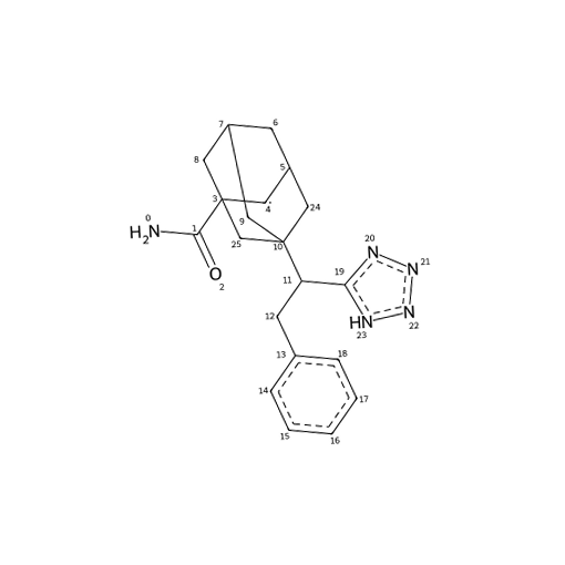 NC(=O)C12[CH]C3CC(C1)CC(C(Cc1ccccc1)c1nnn[nH]1)(C3)C2